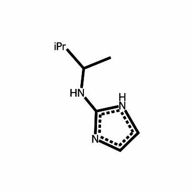 CC(C)C(C)Nc1ncc[nH]1